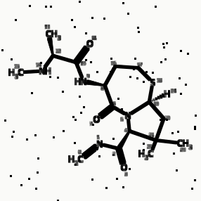 C=NC(=O)[C@H]1N2C(=O)[C@@H](NC(=O)[C@H](C)NC)CCS[C@H]2CC1(C)C